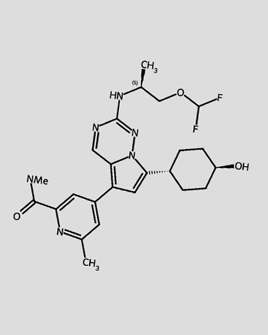 CNC(=O)c1cc(-c2cc([C@H]3CC[C@H](O)CC3)n3nc(N[C@@H](C)COC(F)F)ncc23)cc(C)n1